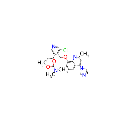 CCC(OC(=O)N(C)C)c1cncc(Cl)c1COc1cccc2c(-n3ccnc3)cc(C)nc12